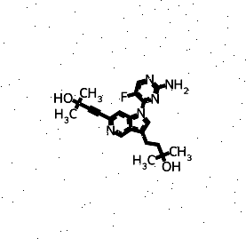 CC(C)(O)C#Cc1cc2c(cn1)c(CCC(C)(C)O)cn2-c1nc(N)ncc1F